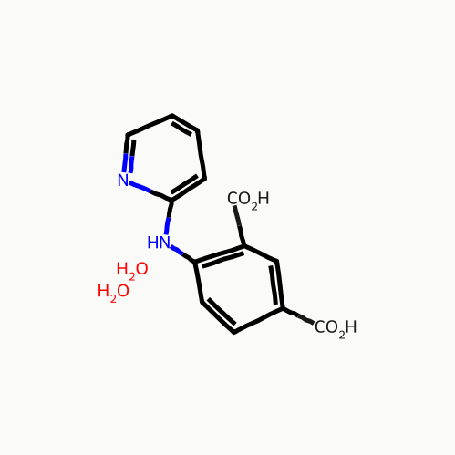 O.O.O=C(O)c1ccc(Nc2ccccn2)c(C(=O)O)c1